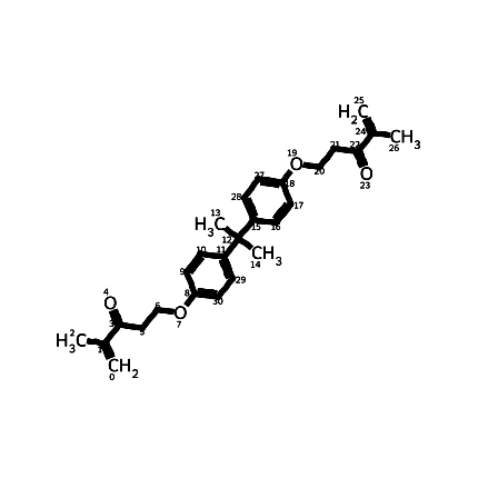 C=C(C)C(=O)CCOc1ccc(C(C)(C)c2ccc(OCCC(=O)C(=C)C)cc2)cc1